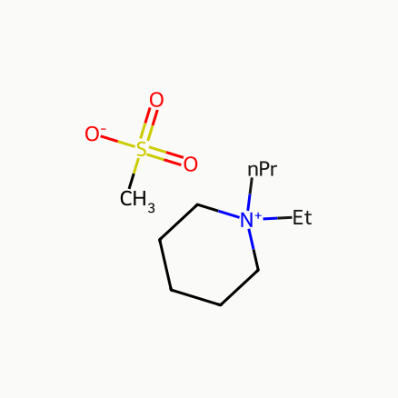 CCC[N+]1(CC)CCCCC1.CS(=O)(=O)[O-]